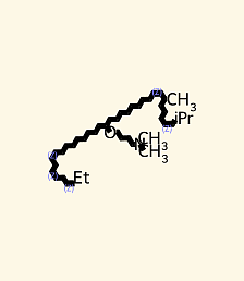 CC/C=C\C/C=C\C/C=C\CCCCCCCCC(CCCCCCCC/C=C\C(C)CCC/C=C\C(C)C)OCCCCN(C)C